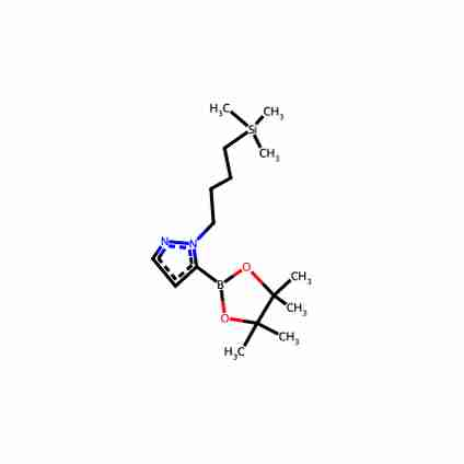 CC1(C)OB(c2ccnn2CCCC[Si](C)(C)C)OC1(C)C